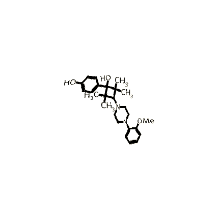 COc1ccccc1N1CCN(C2C(C)(C)C(O)(c3ccc(O)cc3)C2(C)C)CC1